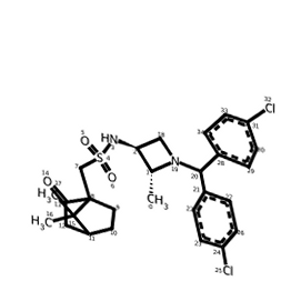 C[C@@H]1[C@@H](NS(=O)(=O)CC23CCC(CC2=O)C3(C)C)CN1C(c1ccc(Cl)cc1)c1ccc(Cl)cc1